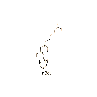 CCCCCCCCc1cnc(-c2ccc(CCCCCC(C)F)cc2F)nc1